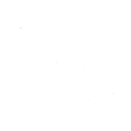 O=C(O)C1C(c2ccccc2)c2ccccc2C1c1ccc(O)cc1